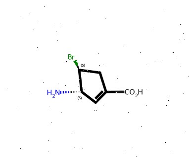 N[C@H]1C=C(C(=O)O)C[C@@H]1Br